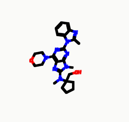 Cc1nc2ccccc2n1-c1nc(N2CCOCC2)c2nc(N(C)C3(CO)CCCC3)n(C)c2n1